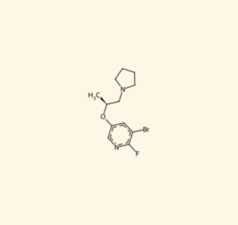 C[C@@H](CN1CCCC1)Oc1cnc(F)c(Br)c1